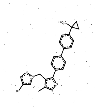 CCOC(=O)C1(c2ccc(-c3ccc(-c4onc(C)c4Cn4cc(Br)cn4)cc3)cc2)CC1